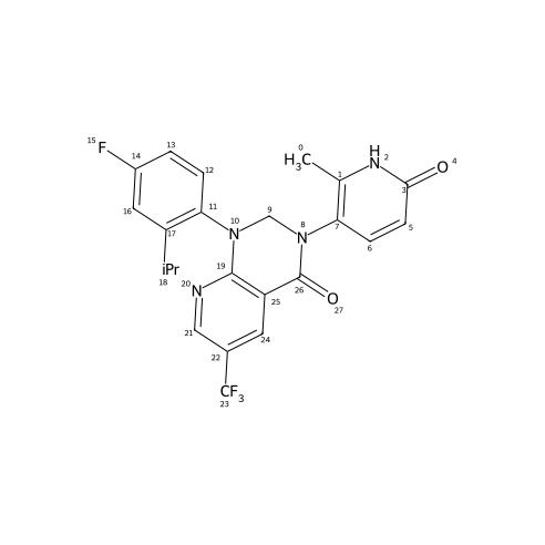 Cc1[nH]c(=O)ccc1N1CN(c2ccc(F)cc2C(C)C)c2ncc(C(F)(F)F)cc2C1=O